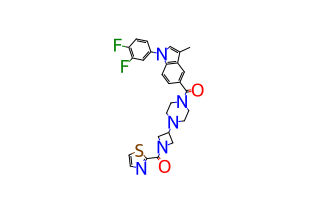 Cc1cn(-c2ccc(F)c(F)c2)c2ccc(C(=O)N3CCN(C4CN(C(=O)c5nccs5)C4)CC3)cc12